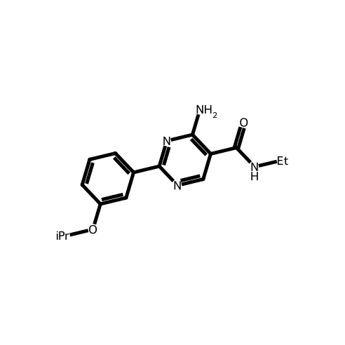 CCNC(=O)c1cnc(-c2cccc(OC(C)C)c2)nc1N